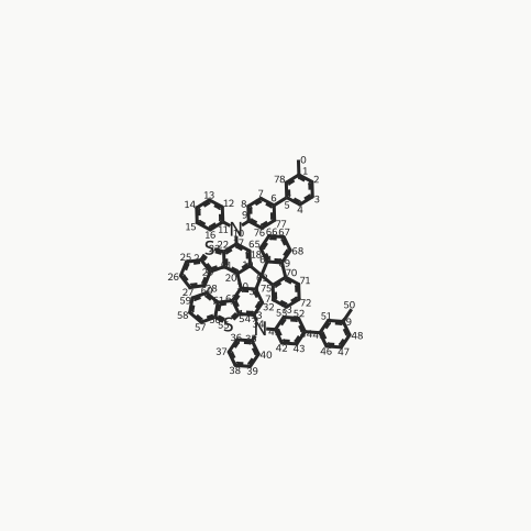 Cc1cccc(-c2ccc(N(c3ccccc3)c3cc4c(c5c3sc3ccccc35)-c3c(cc(N(c5ccccc5)c5ccc(-c6cccc(C)c6)cc5)c5sc6ccccc6c35)C43c4ccccc4-c4ccccc43)cc2)c1